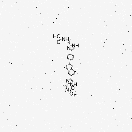 C[C@@H](CNC(=O)O)c1nc(-c2ccc(-c3ccc4cc(-c5c[nH]c([C@H](C)N(C)C(=O)OC(C)(C)C)n5)ccc4c3)cc2)c[nH]1